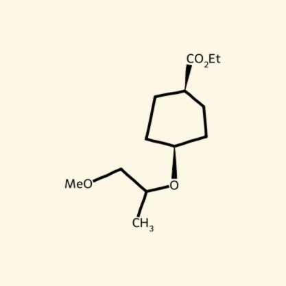 CCOC(=O)[C@H]1CC[C@@H](OC(C)COC)CC1